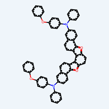 c1ccc(Oc2ccc(N(c3ccccc3)c3ccc4c(ccc5c4oc4ccc6oc7c8ccc(N(c9ccccc9)c9ccc(Oc%10ccccc%10)cc9)cc8ccc7c6c45)c3)cc2)cc1